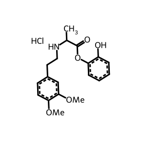 COc1ccc(CCNC(C)C(=O)Oc2ccccc2O)cc1OC.Cl